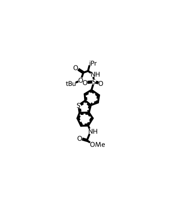 COC(=O)Nc1ccc2sc3cc(S(=O)(=O)NC(C(=O)OC(C)(C)C)C(C)C)ccc3c2c1